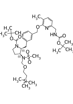 Cc1ccc(CNC(=O)OC(C)(C)C)nc1OCc1cccc(C[C@H]2[C@@H](N(COCC[Si](C)(C)C)S(C)(=O)=O)CCN2C(=O)OC(C)(C)C)c1